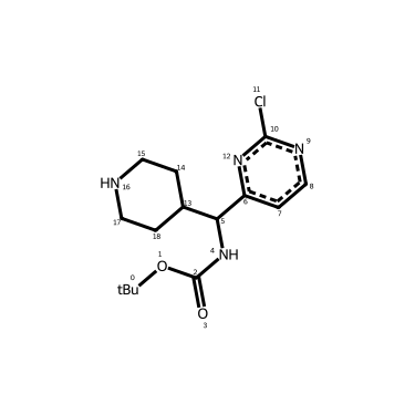 CC(C)(C)OC(=O)NC(c1ccnc(Cl)n1)C1CCNCC1